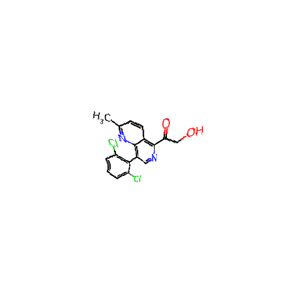 Cc1ccc2c(C(=O)CO)ncc(-c3c(Cl)cccc3Cl)c2n1